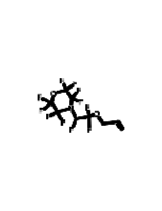 C=CCOC(F)(F)C(F)N1C(F)(F)C(F)(F)OC(F)(F)C1(F)F